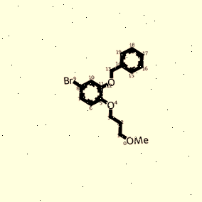 COCCCOc1ccc(Br)cc1OCc1ccccc1